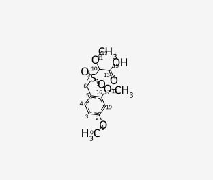 COc1ccc(CS(=O)(=O)C(OC)C(=O)O)c(OC)c1